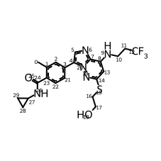 Cc1cc(-c2cnc3c(NCCC(F)(F)F)cc(SCCO)nn23)ccc1C(=O)NC1CC1